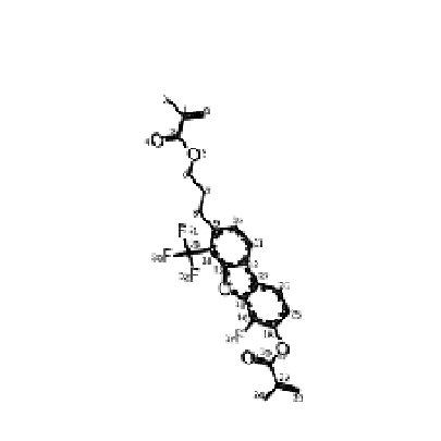 C=C(C)C(=O)OCCCc1ccc2c(oc3c(F)c(OC(=O)C(=C)C)ccc32)c1C(F)(F)F